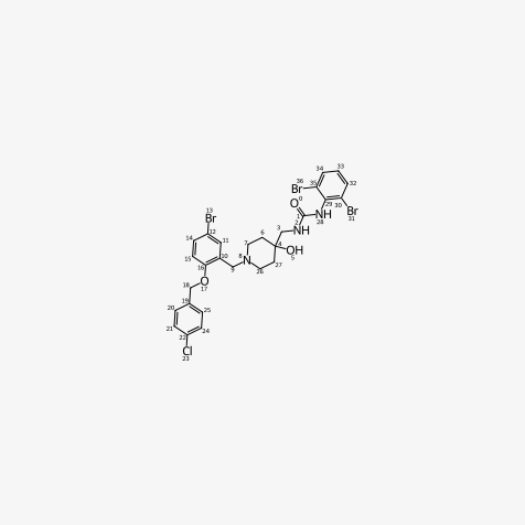 O=C(NCC1(O)CCN(Cc2cc(Br)ccc2OCc2ccc(Cl)cc2)CC1)Nc1c(Br)cccc1Br